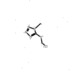 Cn1nnnc1SCCl